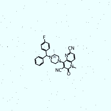 C[C@@H]1CN(c2c(C#N)c(=O)n(C)c3ccc(C#N)nc23)CCN1C(c1ccccc1)c1ccc(F)cc1